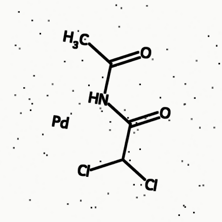 CC(=O)NC(=O)C(Cl)Cl.[Pd]